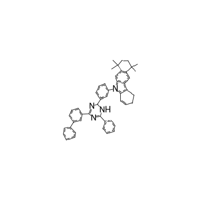 CC1(C)CCC(C)(C)c2cc3c(cc21)c1c(n3-c2cccc(C3N=C(c4cccc(-c5ccccc5)c4)N=C(c4ccccc4)N3)c2)C=CCC1